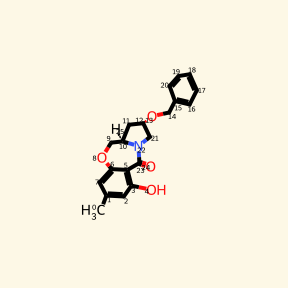 Cc1cc(O)c2c(c1)OC[C@H]1C[C@H](OCc3ccccc3)CN1C2=O